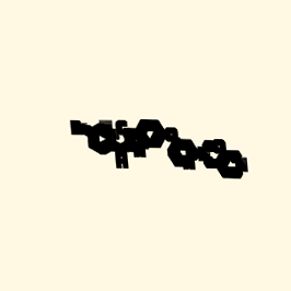 Cn1c(Nc2ccc(Br)cc2)nc2cc(Oc3ccnc(N(C=O)Cc4ccncc4)c3)ccc21